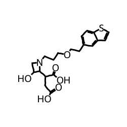 O=C(O)CC(C(=O)O)C1C(O)CN1CCCOCCc1ccc2sccc2c1